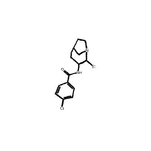 CCC1C(NC(=O)c2ccc(Cl)cc2)CC2CCN1C2